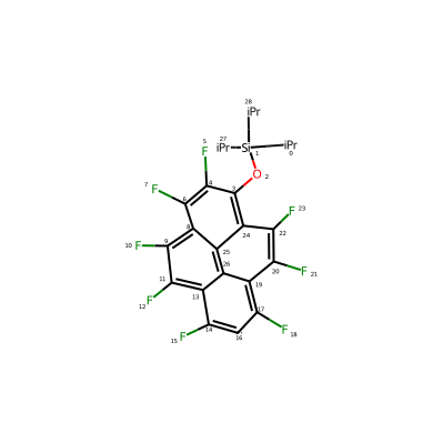 CC(C)[Si](Oc1c(F)c(F)c2c(F)c(F)c3c(F)[c]c(F)c4c(F)c(F)c1c2c34)(C(C)C)C(C)C